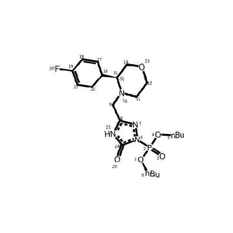 CCCCOP(=O)(OCCCC)n1nc(CN2CCOC[C@@H]2C2C=CC(F)=CC2)[nH]c1=O